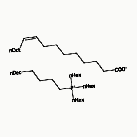 CCCCCCCC/C=C\CCCCCCCC(=O)[O-].CCCCCCCCCCCCCC[P+](CCCCCC)(CCCCCC)CCCCCC